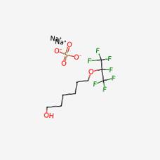 O=S(=O)([O-])[O-].OCCCCCCOC(F)(C(F)(F)F)C(F)(F)F.[Na+].[Na+]